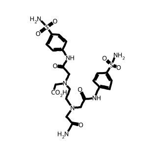 NC(=O)CN(CCN(CC(=O)O)CC(=O)Nc1ccc(S(N)(=O)=O)cc1)CC(=O)Nc1ccc(S(N)(=O)=O)cc1